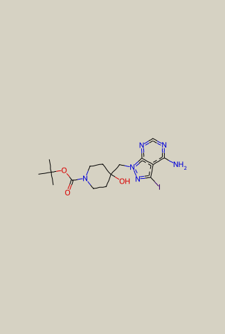 CC(C)(C)OC(=O)N1CCC(O)(Cn2nc(I)c3c(N)ncnc32)CC1